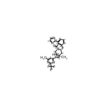 Cc1cc(N2C[C@]3(C)CCN(C(=O)c4c(F)cccc4-n4nccn4)C[C@H]23)nc(C(F)(F)F)n1